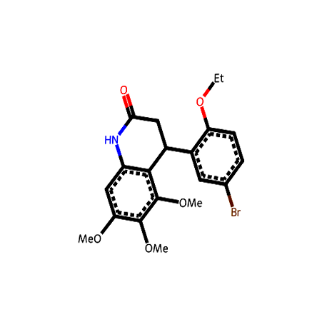 CCOc1ccc(Br)cc1C1CC(=O)Nc2cc(OC)c(OC)c(OC)c21